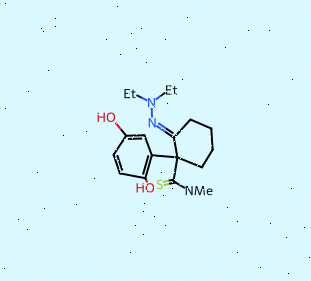 CCN(CC)N=C1CCCCC1(C(=S)NC)c1cc(O)ccc1O